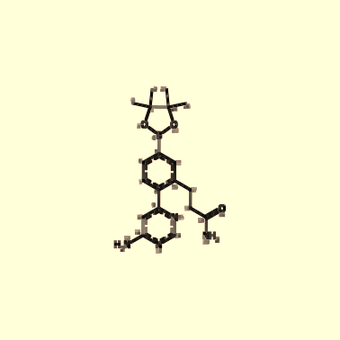 CC1(C)OB(c2ccc(-c3cc(N)ncn3)c(CCC(N)=O)c2)OC1(C)C